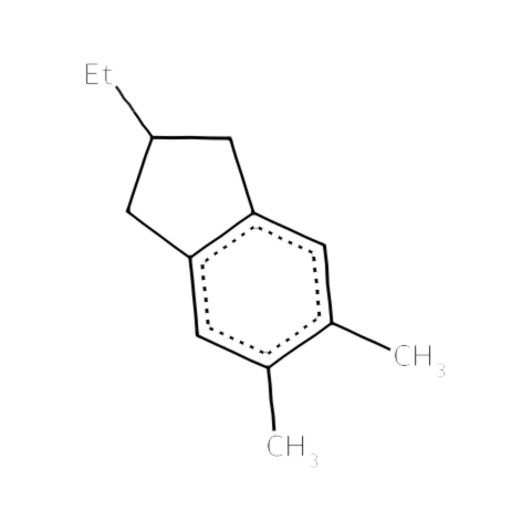 [CH2]CC1Cc2cc(C)c(C)cc2C1